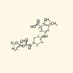 Cc1cc(NC2CCC(NC(=O)OC(C)(C)C)CC2)cc(C(=O)O)c1C